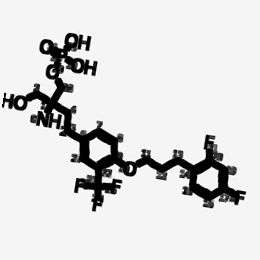 NC(CO)(CCc1ccc(OCCCc2ccc(F)cc2F)c(C(F)(F)F)c1)COP(=O)(O)O